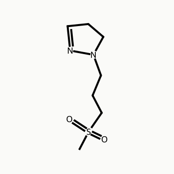 CS(=O)(=O)CCCN1CCC=N1